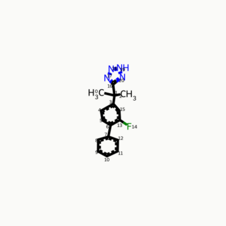 CC(C)(c1ccc(-c2ccccc2)c(F)c1)c1nn[nH]n1